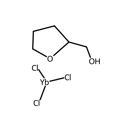 OCC1CCCO1.[Cl][Yb]([Cl])[Cl]